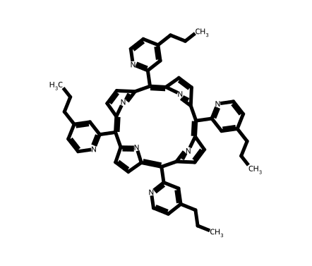 CCCc1ccnc(C2=C3C=CC(=N3)C(c3cc(CCC)ccn3)=C3C=CC(=N3)C(c3cc(CCC)ccn3)=C3C=CC(=N3)C(c3cc(CCC)ccn3)=C3C=CC2=N3)c1